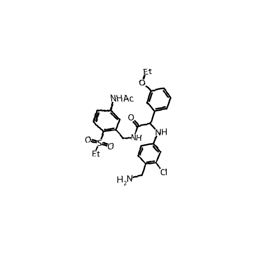 CCOc1cccc(C(Nc2ccc(CN)c(Cl)c2)C(=O)NCc2cc(NC(C)=O)ccc2S(=O)(=O)CC)c1